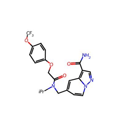 CC(C)N(Cc1ccn2ncc(C(N)=O)c2c1)C(=O)COc1ccc(OC(F)(F)F)cc1